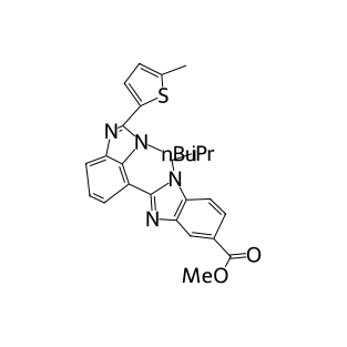 CCCCn1c(-c2ccc(C)s2)nc2cccc(-c3nc4cc(C(=O)OC)ccc4n3CC(C)C)c21